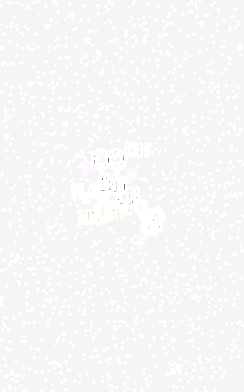 C#Cc1c(F)ccc2cc(O)cc(-c3nc(OC)c4c(N5CCNCC5)nc(OCC56CCCN5C[C@H](F)C6)nc4c3F)c12